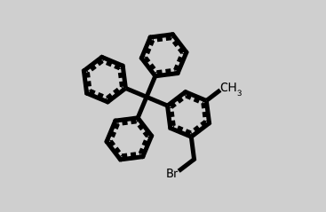 Cc1cc(CBr)cc(C(c2ccccc2)(c2ccccc2)c2ccccc2)c1